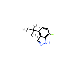 CC(C)(C)c1ccc(F)c2[nH]ncc12